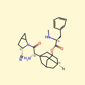 CN[C@@H](Cc1ccccc1)C(=O)OC12CC3C[C@H](C1)CC([C@H](N)C(=O)N1C4CC4C[C@H]1C#N)(C3)C2